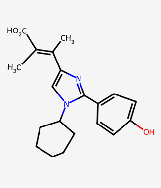 CC(C(=O)O)=C(C)c1cn(C2CCCCC2)c(-c2ccc(O)cc2)n1